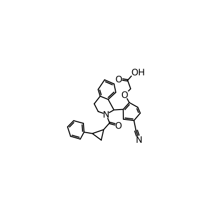 N#Cc1ccc(OCC(=O)O)c(C2c3ccccc3CCN2C(=O)C2CC2c2ccccc2)c1